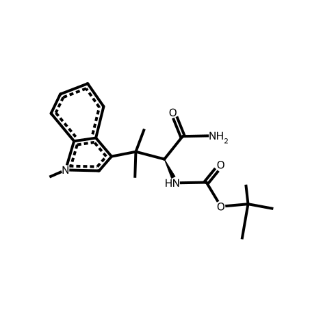 Cn1cc(C(C)(C)[C@H](NC(=O)OC(C)(C)C)C(N)=O)c2ccccc21